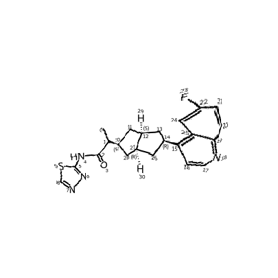 CC(C(=O)Nc1nncs1)[C@H]1C[C@H]2C[C@@H](c3ccnc4ccc(F)cc34)C[C@H]2C1